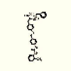 Cc1ccccc1NC(=O)Nc1ccc(COc2ccc(CC(NS(=O)(=O)Cc3ccccc3)C(=O)O)cc2)cc1